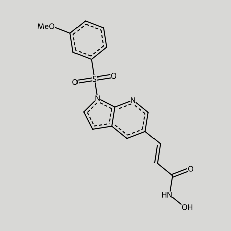 COc1cccc(S(=O)(=O)n2ccc3cc(C=CC(=O)NO)cnc32)c1